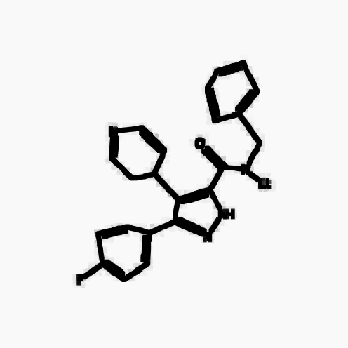 CCN(Cc1ccccc1)C(=O)c1[nH]nc(-c2ccc(F)cc2)c1C1C=CN=CC1